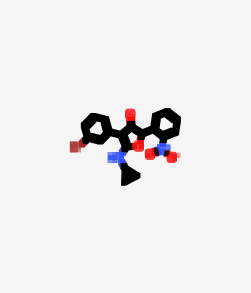 O=C1C(c2cccc(Br)c2)=C(NC2CC2)OC1c1ccccc1[N+](=O)[O-]